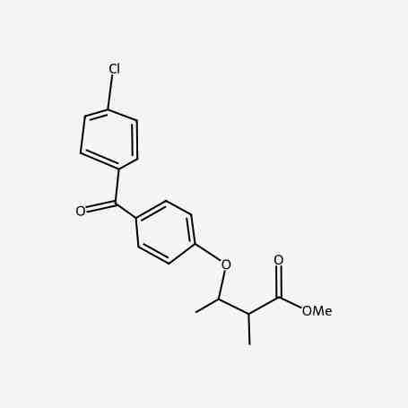 COC(=O)C(C)C(C)Oc1ccc(C(=O)c2ccc(Cl)cc2)cc1